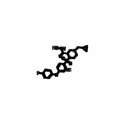 Cl.O=C(NO)[C@H]1CN(CC2CC2)CCN1S(=O)(=O)c1ccc(Oc2ccc(F)cc2)cc1